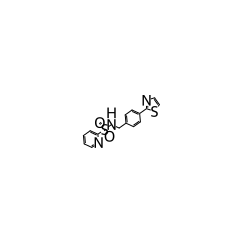 O=S(=O)(NCc1ccc(-c2nccs2)cc1)c1ccccn1